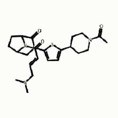 CC(=O)N1CCC(c2ccc(N3CC4CCC(C3=O)N4C(=O)/C=C/CN(C)C)s2)CC1